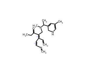 C=CC(/C=C\N=C)=C(\CN(C)C(C)C1=CC(C)=CNC1)C(=O)CC